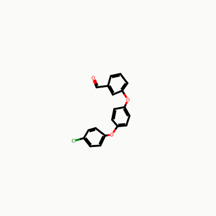 O=Cc1cccc(Oc2ccc(Oc3ccc(Cl)cc3)cc2)c1